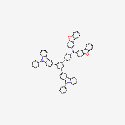 c1ccc(-n2c3ccccc3c3cc(-c4cc(-c5ccc(N(c6ccc7oc8ccccc8c7c6)c6ccc7oc8ccccc8c7c6)cc5)cc(-c5ccc6c(c5)c5ccccc5n6-c5ccccc5)c4)ccc32)cc1